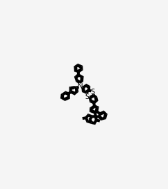 CC1CC2CC(C)C3(c4ccccc4-c4cc(-c5ccc6c(c5)Sc5cc(N(c7ccc(-c8ccccc8)cc7)c7ccc(-c8ccccc8)cc7)ccc5S6)ccc43)C(C1)C2